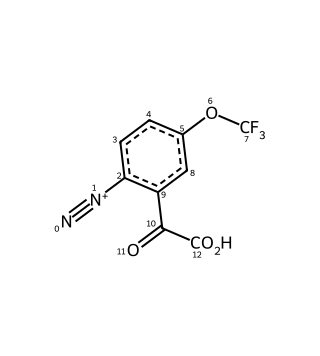 N#[N+]c1ccc(OC(F)(F)F)cc1C(=O)C(=O)O